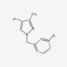 CC(=O)c1cn(Cc2cccc(Cl)c2)nc1C